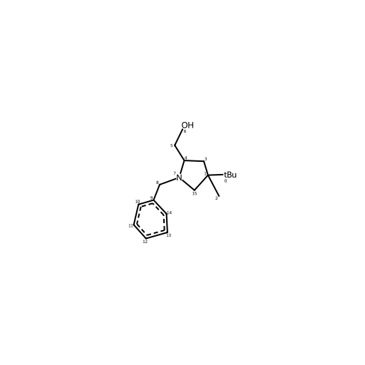 CC(C)(C)C1(C)CC(CO)N(Cc2ccccc2)C1